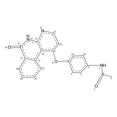 CC(=O)Nc1ccc(Oc2ccnc3[nH]c(=O)c4ccccc4c23)cc1